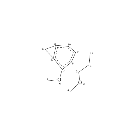 CCCOC.COc1cccc2c1C2